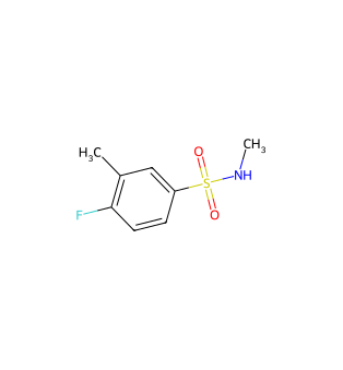 CNS(=O)(=O)c1ccc(F)c(C)c1